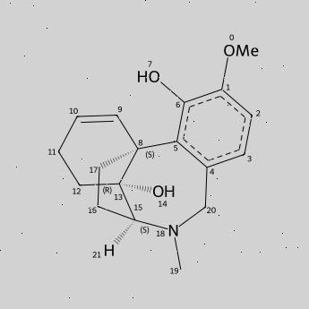 COc1ccc2c(c1O)[C@]13C=CCC[C@]1(O)[C@H](CC3)N(C)C2